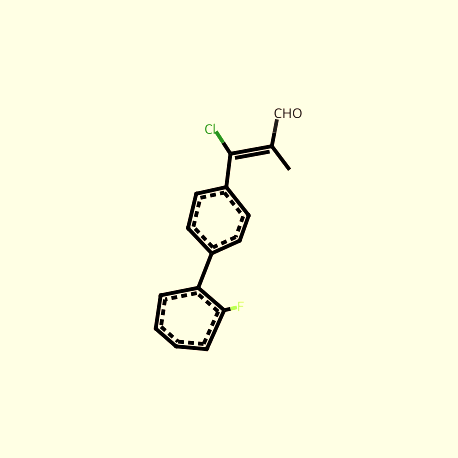 CC(C=O)=C(Cl)c1ccc(-c2ccccc2F)cc1